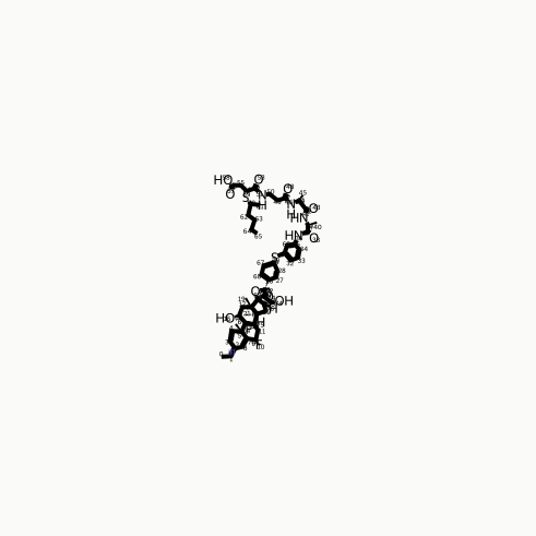 C/C=C1\C=C[C@@]2(C)C(=C1)[C@@H](F)C[C@@H]1[C@]2(F)[C@@H](O)C[C@@]2(C)[C@@]1(C)C[C@H]1O[C@@H](c3ccc(Sc4cccc(NC(=O)[C@H](C)NC(=O)[C@H](C)NC(=O)CCNC(=O)C(CC(=O)O)SC(C)CCCC)c4)cc3)O[C@]12C(=O)CO